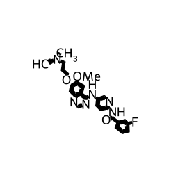 C#CN(C)CCCOc1cc2ncnc(Nc3ccc(NC(=O)c4cccc(F)c4)nc3)c2cc1OC